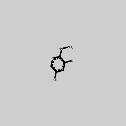 Cc1cnc(NN)c(Cl)c1